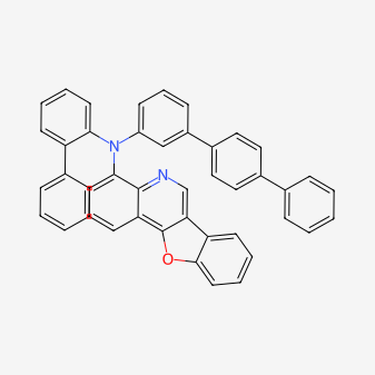 c1ccc(-c2ccc(-c3cccc(N(c4ccccc4-c4ccccc4)c4cccc5c4ncc4c6ccccc6oc54)c3)cc2)cc1